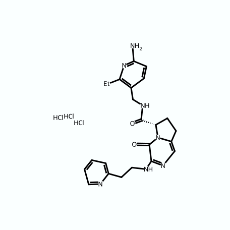 CCc1nc(N)ccc1CNC(=O)[C@@H]1CCc2cnc(NCCc3ccccn3)c(=O)n21.Cl.Cl.Cl